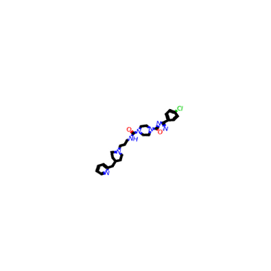 O=C(NCCCN1CCC(Cc2ccccn2)CC1)N1CCN(c2nc(-c3ccc(Cl)cc3)no2)CC1